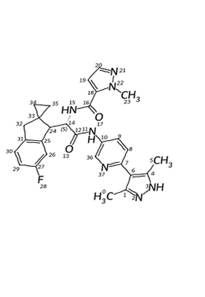 Cc1n[nH]c(C)c1-c1ccc(NC(=O)[C@@H](NC(=O)c2ccnn2C)C2c3cc(F)ccc3CC23CC3)cn1